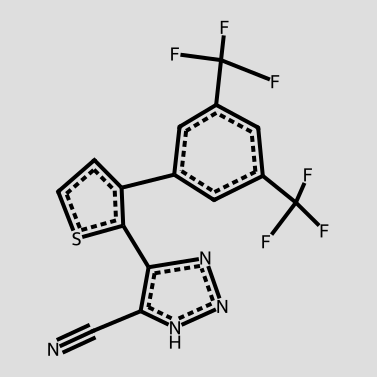 N#Cc1[nH]nnc1-c1sccc1-c1cc(C(F)(F)F)cc(C(F)(F)F)c1